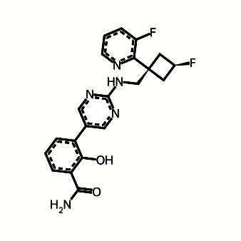 NC(=O)c1cccc(-c2cnc(NC[C@]3(c4ncccc4F)C[C@H](F)C3)nc2)c1O